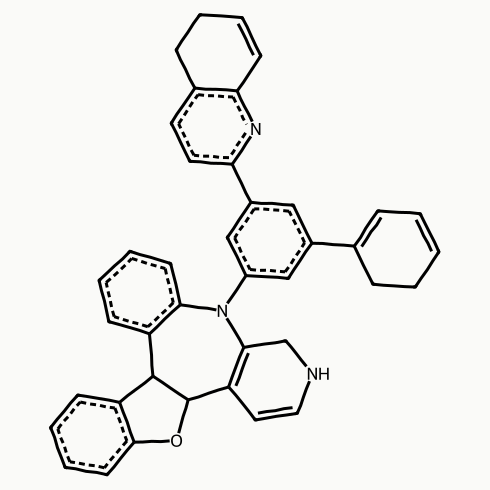 C1=CCCC(c2cc(-c3ccc4c(n3)C=CCC4)cc(N3C4=C(C=CNC4)C4Oc5ccccc5C4c4ccccc43)c2)=C1